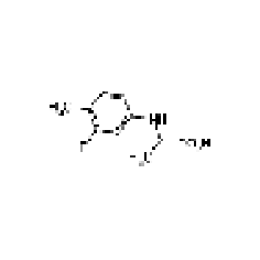 Cc1ccc(N[C@@H](C)C(=O)O)cc1F